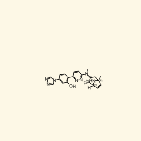 CN(c1ccc(-c2ccc(-n3cnnc3)cc2O)nn1)[C@H]1C[C@]2(C)C=C[C@@H](N2)[C@H]1F